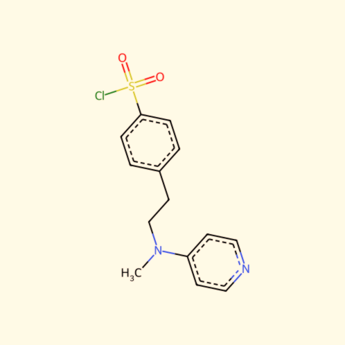 CN(CCc1ccc(S(=O)(=O)Cl)cc1)c1ccncc1